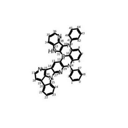 c1ccc(N2c3cccc4c3B(c3cc5c6nccc7c8ccccc8n(c5nc32)c76)c2[nH]c3cccnc3c2N4c2ccccc2)cc1